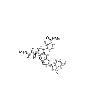 CNC(=O)c1cccc(-c2cnc(NC(=O)[C@H](C)NC)c(=O)n2Cc2cncc(-n3cc(C)c4cc(F)ccc43)c2)c1C